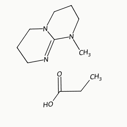 CCC(=O)O.CN1CCCN2CCCN=C12